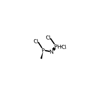 C[P@@](Cl)N=[PH](Cl)Cl